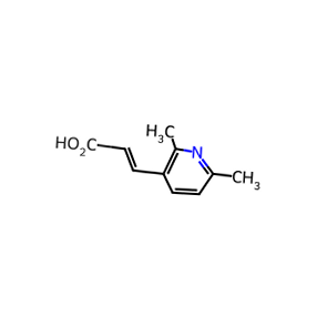 Cc1ccc(C=CC(=O)O)c(C)n1